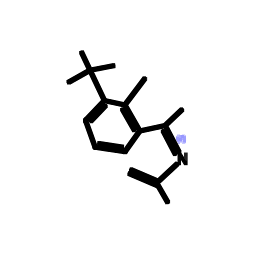 C=C(C)/N=C(/C)c1cccc(C(C)(C)C)c1C